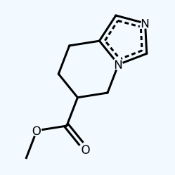 COC(=O)C1CCc2cncn2C1